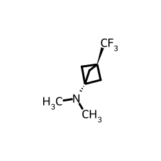 CN(C)[C@]12C[C@@](C(F)(F)F)(C1)C2